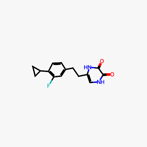 O=c1[nH]cc(CCc2ccc(C3CC3)c(F)c2)[nH]c1=O